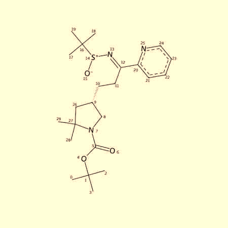 CC(C)(C)OC(=O)N1C[C@@H](CC/C(=N\[S+]([O-])C(C)(C)C)c2ccccn2)CC1(C)C